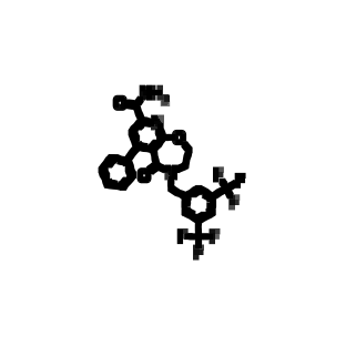 NC(=O)c1cc(-c2ccccc2)c2c(n1)OCCN(Cc1cc(C(F)(F)F)cc(C(F)(F)F)c1)C2=O